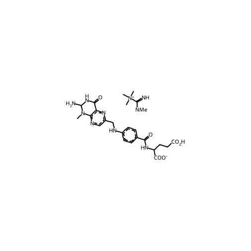 CN1c2ncc(CNc3ccc(C(=O)NC(CCC(=O)O)C(=O)[O-])cc3)nc2C(=O)NC1N.CNC(=N)[N+](C)(C)C